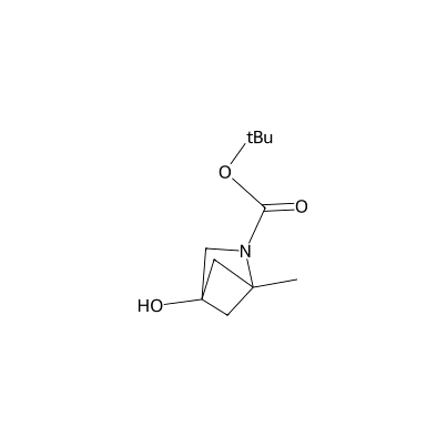 CC(C)(C)OC(=O)N1CC2(O)CC1(C)C2